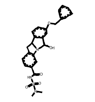 CN(C)S(=O)(=O)NC(=O)c1ccc2c(c1)N1C(O)c3cc(OCc4ccccc4)ccc3C1C2